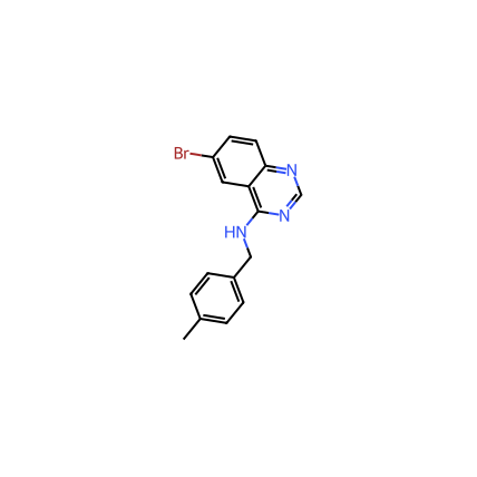 Cc1ccc(CNc2ncnc3ccc(Br)cc23)cc1